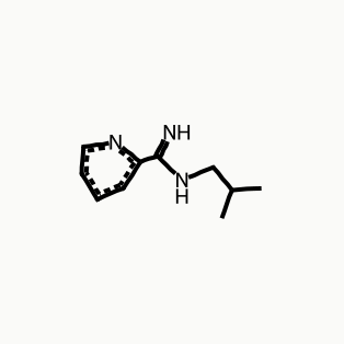 CC(C)CNC(=N)c1ccccn1